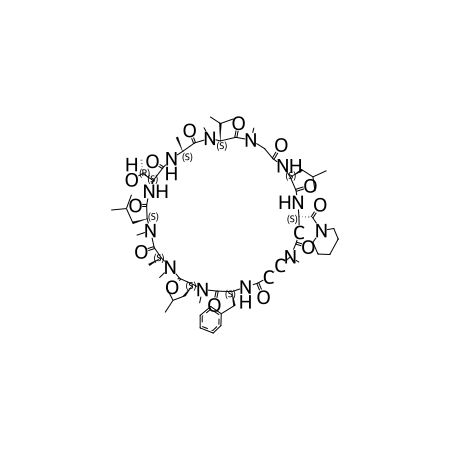 CC(C)C[C@@H]1NC(=O)CN(C)C(=O)[C@H](C(C)C)N(C)C(=O)[C@H](C)NC(=O)[C@H]([C@@H](C)O)NC(=O)[C@H](CC(C)C)N(C)C(=O)[C@H](C)N(C)C(=O)[C@H](CC(C)C)N(C)C(=O)[C@H](Cc2ccccc2)NC(=O)CCN(C)C(=O)C[C@@H](C(=O)N2CCCCC2)NC1=O